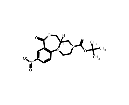 CC(C)(C)OC(=O)N1CCN2c3ccc([N+](=O)[O-])cc3C(=O)OC[C@@H]2C1